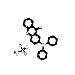 O=S(=O)([O-])C(F)(F)F.O=c1c2ccccc2oc2ccc([S+](c3ccccc3)c3ccccc3)cc12